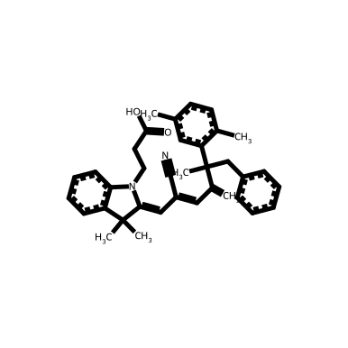 C=C(/C=C(C#N)/C=C1\N(CCC(=O)O)c2ccccc2C1(C)C)C(C)(Cc1ccccc1)c1cc(C)ccc1C